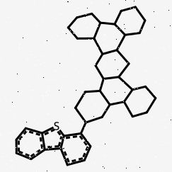 c1ccc2c(c1)sc1c(C3CCC4C(C3)C3CCCCC3C3CC5C6CCCCC6C6CCCCC6C5CC43)cccc12